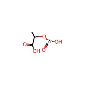 CC([O][Zr](=[O])[OH])C(=O)O